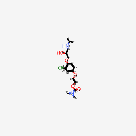 CC(C)NCC(O)COc1ccc(OCCOC(=O)N(C)C)cc1Cl